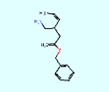 C=C(CC(/C=C\C)CN)OCc1ccccc1